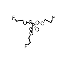 O=P(OOCCF)(OOCCF)OOCCF